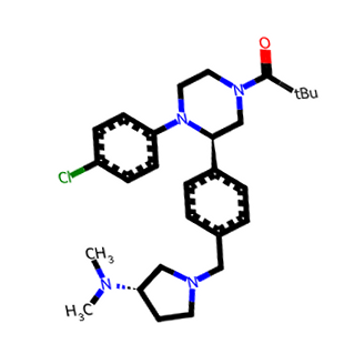 CN(C)[C@H]1CCN(Cc2ccc([C@@H]3CN(C(=O)C(C)(C)C)CCN3c3ccc(Cl)cc3)cc2)C1